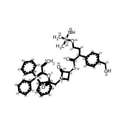 C=CC(OC(=O)CN1C[C@H](SC(=O)C(CCO[Si](C)(C)C(C)(C)C)c2ccc(CO)cc2)C1=O)=P(c1ccccc1)(c1ccccc1)c1ccccc1